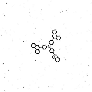 c1ccc2oc(-c3ccc(N(c4ccc(-c5cc6ccccc6c6ccccc56)cc4)c4ccc(-c5cc6ccccc6c6ccccc56)cc4)cc3)cc2c1